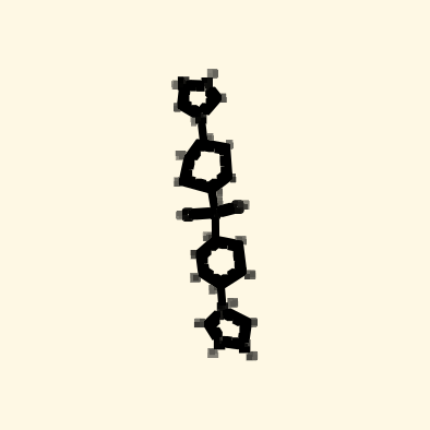 O=S(=O)(c1ccc(-n2cnnc2)cc1)c1ccc(-n2cnnc2)cc1